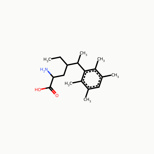 CCC(CC(N)C(=O)O)C(C)c1c(C)c(C)cc(C)c1C